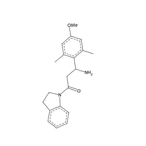 COc1cc(C)c(C(N)CC(=O)N2CCc3ccccc32)c(C)c1